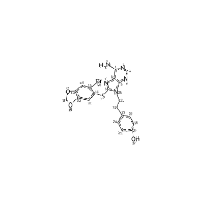 Nc1ncnc2c1nc(Sc1cc3c(cc1Br)OCO3)n2CCc1ccc(O)cc1